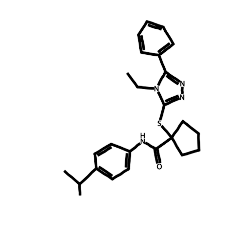 CCn1c(SC2(C(=O)Nc3ccc(C(C)C)cc3)CCCC2)nnc1-c1ccccc1